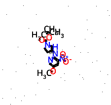 COc1cnc(N[C@H]2CCN(C(=O)OC(C)(C)C)C2)c([N+](=O)[O-])c1